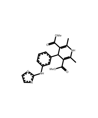 COC(=O)C1=C(C)NC(C)=C(C(=O)OC)C1c1cccc(Nc2nccs2)c1